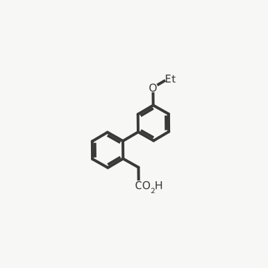 CCOc1cccc(-c2ccccc2CC(=O)O)c1